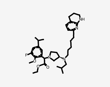 CCOC(=O)C(c1cc(C(C)C)cc(F)c1OC)N1CC[C@@H](N(CCCCCc2ccc3c(n2)NCCC3)CC(C)C)C1